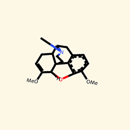 COC1=CCC2C3Cc4ccc(OC)c5c4[C@]2(CCN3C)[C@@H]1O5